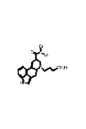 CCOC(=O)CCCN1CC(C(=O)N(CC)CC)C=C2c3cccc4[nH]cc(c34)CC21